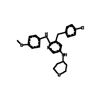 COc1ccc(Nc2ncc(NC3CCOCC3)cc2Cc2ccc(Cl)cc2)cc1